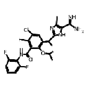 Cc1nc(C(C)c2cc(Cl)c(F)c(C(=O)Nc3c(F)cccc3F)c2OC(C)C)[nH]c1C(=N)N